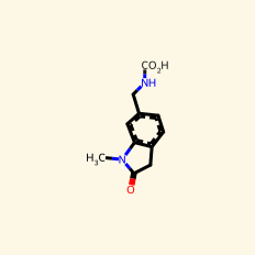 CN1C(=O)Cc2ccc(CNC(=O)O)cc21